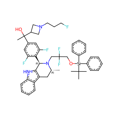 C[C@@H]1Cc2c([nH]c3ccccc23)[C@@H](c2c(F)cc(C(C)(O)C3CN(CCCF)C3)cc2F)N1CC(F)(F)CO[Si](c1ccccc1)(c1ccccc1)C(C)(C)C